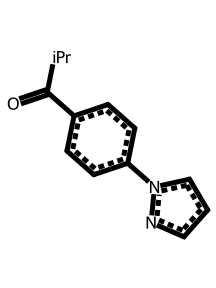 CC(C)C(=O)c1ccc(-n2cccn2)cc1